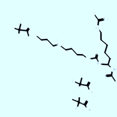 CC(=O)NC(CCCCCNC(=N)N)NC(=O)OCCCCNCCCN.O=C(O)C(F)(F)F.O=C(O)C(F)(F)F.O=C(O)C(F)(F)F